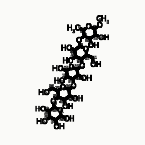 COC1OC(C)C(OC2OC(CO)C(OC3OC(O)C(O)C(OC4OC(CO)C(OC5OC(O)C(O)C(O)C5O)C(O)C4O)C3O)C(O)C2O)C(O)C1O